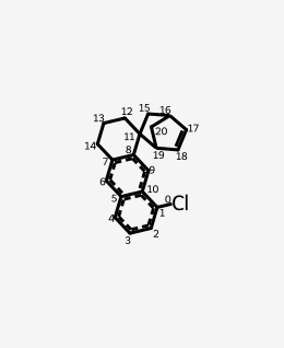 Clc1cccc2cc3c(cc12)C1(CCC3)CC2C=CC1C2